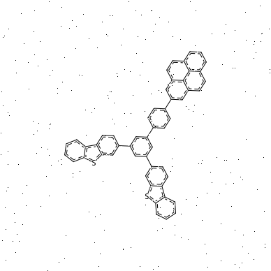 c1cc2ccc3cc(-c4ccc(-c5cc(-c6ccc7c(c6)sc6ccccc67)cc(-c6ccc7c(c6)sc6ccccc67)c5)cc4)cc4ccc(c1)c2c34